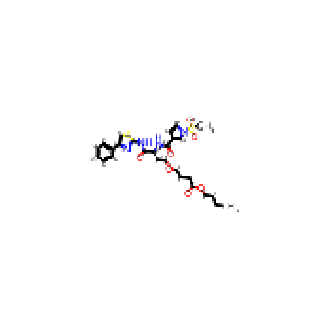 CCCCOC(=O)CCCOCC[C@H](NC(=O)c1ccn(S(C)(=O)=O)c1)C(=O)Nc1nc(-c2ccccc2)cs1